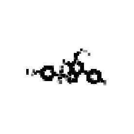 CCn1cc(-c2ccc(F)cc2)c2ccn(S(=O)(=O)c3ccc(C)cc3)c2c1=O